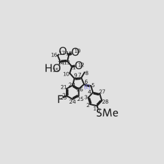 CSc1ccc(/C=C2/C(C)=C(CC(=O)C3=C(O)COC3=O)c3cc(F)ccc32)cc1